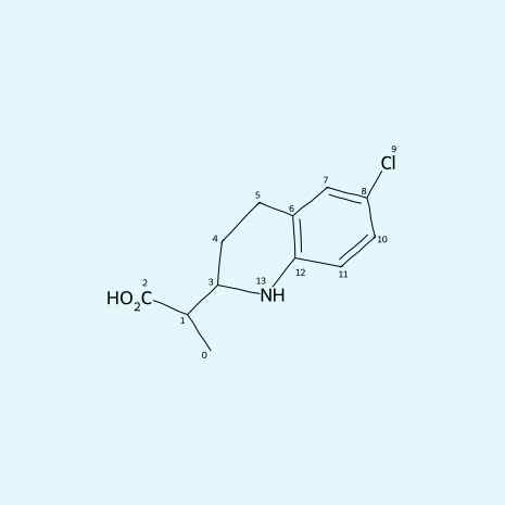 CC(C(=O)O)C1CCc2cc(Cl)ccc2N1